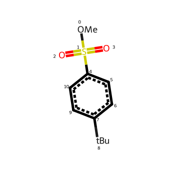 COS(=O)(=O)c1ccc(C(C)(C)C)cc1